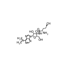 C#CCC[C@H](N)C(=O)NC1(C)[C@H](O)[C@H](n2cnc3c(N(C)C)ncnc32)O[C@@H]1CO